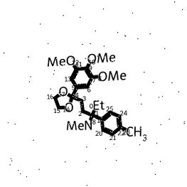 CCC(CCC1(c2cc(OC)c(OC)c(OC)c2)OCCO1)(NC)c1ccc(C)cc1